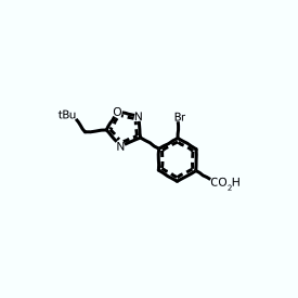 CC(C)(C)Cc1nc(-c2ccc(C(=O)O)cc2Br)no1